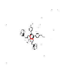 CCC(C)c1ccc(-c2cccc3c2C=C(CC2C4CC5CC(C4)CC2C5)[CH]3[Zr]([CH3])([CH3])(=[SiH2])[CH]2C(CC3C4CC5CC(C4)CC3C5)=Cc3c(-c4ccc(C(C)CC)cc4)cccc32)cc1.Cl.Cl